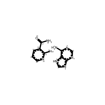 Nc1ncnc2nc[nH]c12.[2H]c1ncccc1C(N)=O